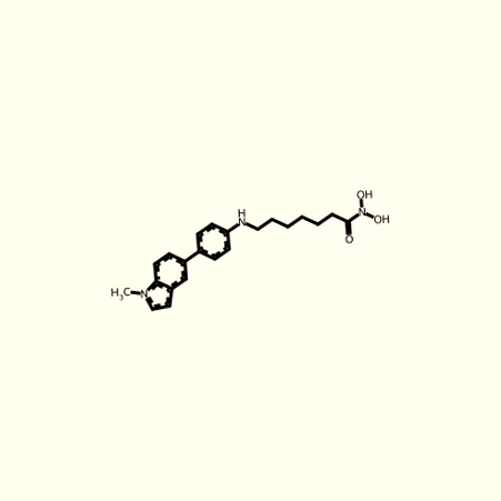 Cn1ccc2cc(-c3ccc(NCCCCCCC(=O)N(O)O)cc3)ccc21